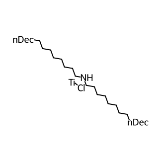 CCCCCCCCCCCCCCCCCCNCCCCCCCCCCCCCCCCCC.[Cl][Ti]